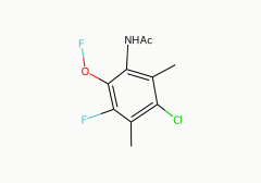 CC(=O)Nc1c(C)c(Cl)c(C)c(F)c1OF